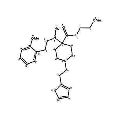 COCCOC(=O)C1(N(OCc2ccccc2OC)C(C)=O)CCN(CCc2cccs2)CC1